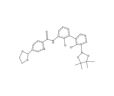 CC1(C)OB(c2cccc(-c3cccc(NC(=O)c4ccc(C5OCCO5)cn4)c3Cl)c2Cl)OC1(C)C